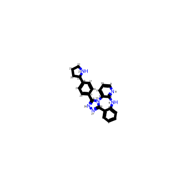 c1ccc2c(c1)Nc1ncccc1-n1c(-c3ccc(C4CCCN4)cc3)nnc1-2